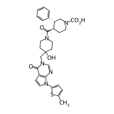 Cc1ccc(-n2ccc3c(=O)n(CC4(O)CCN(C(=O)[C@@H]5CCN(C(=O)O)C[C@H]5c5ccccc5)CC4)cnc32)s1